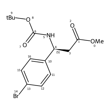 COC(=O)C[C@H](NC(=O)OC(C)(C)C)c1ccc(Br)cc1